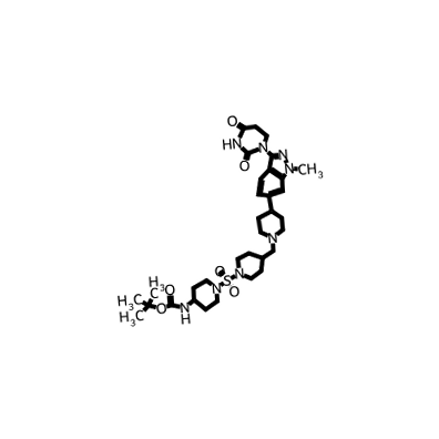 Cn1nc(N2CCC(=O)NC2=O)c2ccc(C3CCN(CC4CCN(S(=O)(=O)N5CCC(NC(=O)OC(C)(C)C)CC5)CC4)CC3)cc21